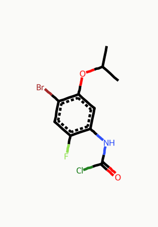 CC(C)Oc1cc(NC(=O)Cl)c(F)cc1Br